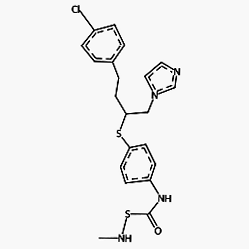 CNSC(=O)Nc1ccc(SC(CCc2ccc(Cl)cc2)Cn2ccnc2)cc1